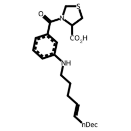 CCCCCCCCCCC=CCCCNc1cccc(C(=O)N2CSCC2C(=O)O)c1